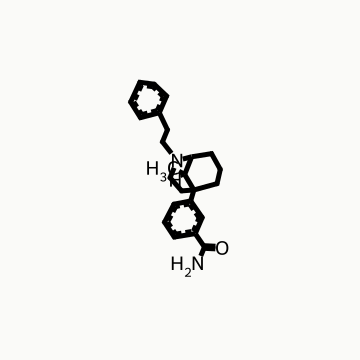 C[C@H]1C2CCCC1(c1cccc(C(N)=O)c1)CCN2CCc1ccccc1